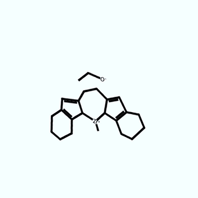 CC[O-].[CH3][Zr+]1[CH]2C(=CC3=C2CCCC3)CCC2=CC3=C(CCCC3)[CH]21